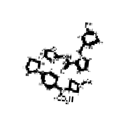 CC(=O)N1CC(N(C(=O)O)c2ccc(N3CCC[C@@H]3c3csc(NC(=O)c4cccn4Cc4ccnc(F)c4)n3)cc2)C1